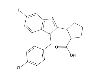 O=C(O)C1CCCC1c1nc2cc(F)ccc2n1Cc1ccc(Cl)cc1